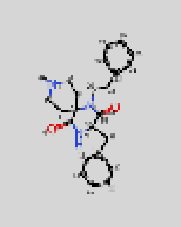 CN1CCC2(CC1)C(=O)NC(Cc1ccccc1)C(=O)N2CCc1ccccc1